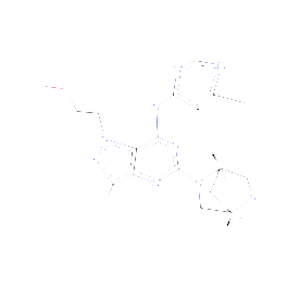 CCOCCn1nc(CC)c2nc(N3C[C@@H]4C[C@H]3CN4)nc(Nc3cc(C)ncn3)c21